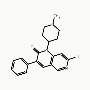 CN1CCC(n2c(=O)c(-c3ccccc3)cc3cnc(Cl)cc32)CC1